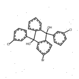 OC1(c2cccc(Cl)c2)c2ccccc2C(O)(c2cccc(Cl)c2)c2cc(Br)ccc21